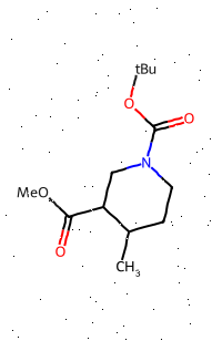 COC(=O)C1CN(C(=O)OC(C)(C)C)CCC1C